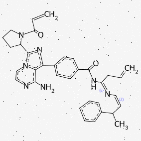 C=CC/C(=N\C=C/C(C)c1ccccc1)NC(=O)c1ccc(-c2nc(C3CCCN3C(=O)C=C)n3ccnc(N)c23)cc1